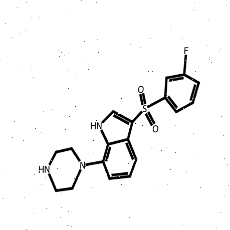 O=S(=O)(c1cccc(F)c1)c1c[nH]c2c(N3CCNCC3)cccc12